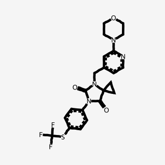 O=C1N(c2ccc(SC(F)(F)F)cc2)C(=O)C2(CC2)N1Cc1ccnc(N2CCOCC2)c1